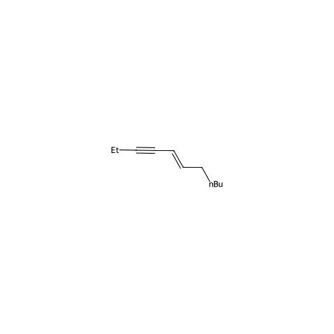 CCC#CC=CCCCCC